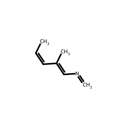 C=N/C=C(C)/C=C\C